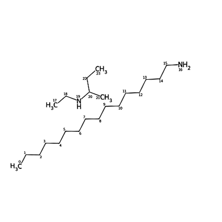 CCCCCCCCCCCCCCCCN.CCNC(C)CC